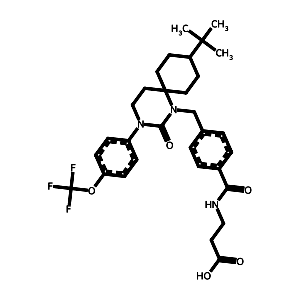 CC(C)(C)C1CCC2(CC1)CCN(c1ccc(OC(F)(F)F)cc1)C(=O)N2Cc1ccc(C(=O)NCCC(=O)O)cc1